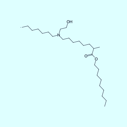 [CH2]CCCCCCN(CCO)CCCCCCC(C)C(=O)OCCCCCCCCC